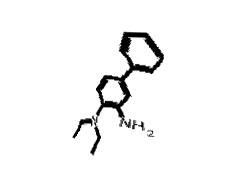 CCN(CC)c1ccc(-c2ccccc2)cc1N